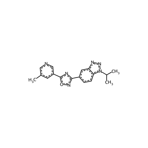 Cc1cncc(-c2nc(-c3ccc4c(c3)nnn4C(C)C)no2)c1